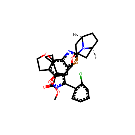 COC(=O)c1cc2sc(N3[C@@H]4CC[C@H]3CC(OCc3c(-c5ccccc5Cl)noc3C3CC3)C4)nc2c2c1CCO2